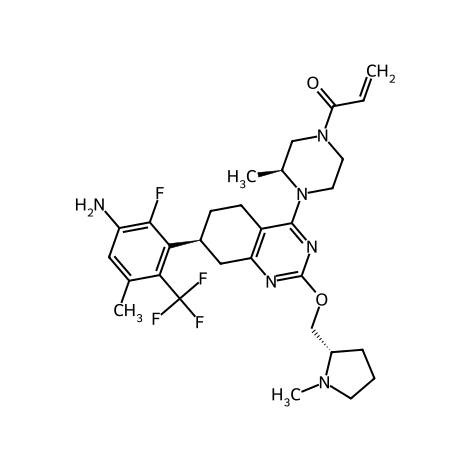 C=CC(=O)N1CCN(c2nc(OC[C@@H]3CCCN3C)nc3c2CC[C@H](c2c(F)c(N)cc(C)c2C(F)(F)F)C3)[C@@H](C)C1